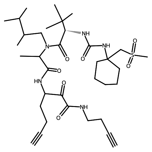 C#CCCNC(=O)C(=O)C(CCC#C)NC(=O)C(C)N(CC(C)C(C)C)C(=O)[C@@H](NC(=O)NC1(CS(C)(=O)=O)CCCCC1)C(C)(C)C